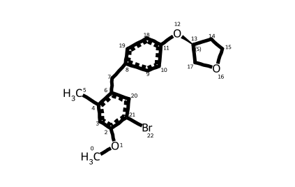 COc1cc(C)c(Cc2ccc(O[C@H]3CCOC3)cc2)cc1Br